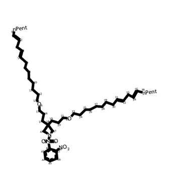 CCCCCC=CCC=CCCCCCCCCOCCCC1(CCCOCCCCCCCCC=CCC=CCCCCC)CN(S(=O)(=O)c2ccccc2[N+](=O)[O-])C1